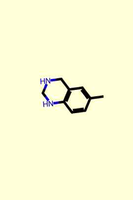 Cc1ccc2c(c1)CNCN2